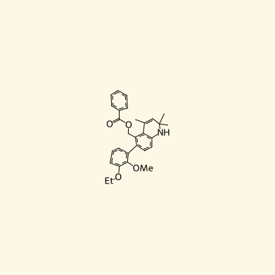 CCOc1cccc(-c2ccc3c(c2COC(=O)c2ccccc2)C(C)=CC(C)(C)N3)c1OC